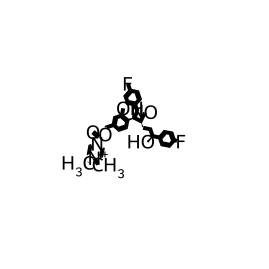 C[N+]1(C)CCN(C(=O)OCc2ccc([C@@H]3[C@@H](CC[C@H](O)c4ccc(F)cc4)C(=O)N3c3ccc(F)cc3)c(O)c2)CC1